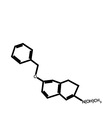 CN(O)C1=Cc2ccc(OCc3ccccc3)cc2CC1